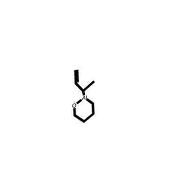 C=C[CH](C)[Al]1[CH2]CCC[O]1